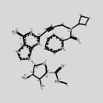 CNC(=O)[C@H]1O[C@@H](n2cnc3c(N)nc(C#CCN(C(=O)c4ccccn4)C4CCC4)nc32)[C@H](O)C1O